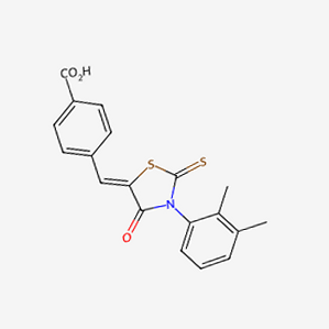 Cc1cccc(N2C(=O)C(=Cc3ccc(C(=O)O)cc3)SC2=S)c1C